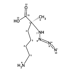 C[C@@](CCCCN)(NN=[N+]=[N-])C(=O)O